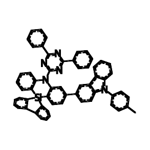 Cc1ccc(-n2c3ccccc3c3cc(-c4ccc5c(c4)N(c4nc(-c6ccccc6)nc(-c6ccccc6)n4)c4ccccc4[Si]54c5ccccc5-c5ccccc54)ccc32)cc1